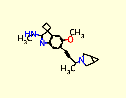 CNC1=Nc2cc(C#CC(C)N3CC4CC4C3)c(OC)cc2C12CCC2